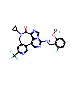 COc1cccc(F)c1CNc1ncc2c3c(ncn13)C(=O)N(C1CC1)Cc1cc(C(F)(F)F)ncc1-2